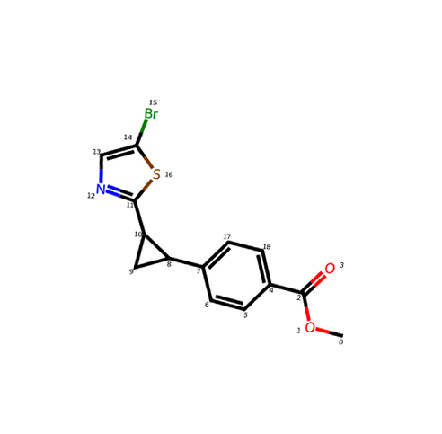 COC(=O)c1ccc(C2CC2c2ncc(Br)s2)cc1